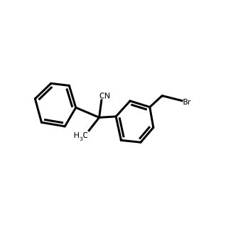 CC(C#N)(c1ccccc1)c1cccc(CBr)c1